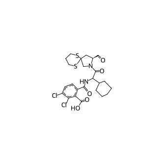 O=C[C@@H]1CC2(CN1C(=O)C(NC(=O)c1ccc(Cl)c(Cl)c1C(=O)O)C1CCCCC1)SCCCS2